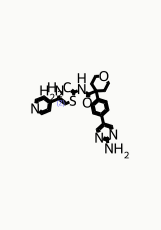 C=C(NC(=O)C1(c2ccc(-c3cnc(N)nc3)cc2)CCOCC1)S/C=C(\N)c1ccncc1